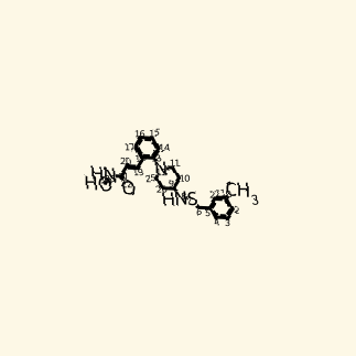 Cc1cccc(CSNC2CCN(c3ccccc3/C=C/C(=O)NO)CC2)c1